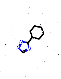 C1=N[C](C2CCCCC2)N=N1